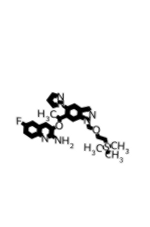 CC(Oc1cc2cc(F)ccc2nc1N)c1cc2c(cnn2COCCS(C)(C)C)cc1-n1cccn1